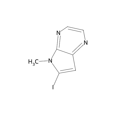 Cn1c(I)cc2nccnc21